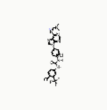 CN(C)/C=N\c1ncnc2c1ncn2-c1ccc(NC(=O)Nc2ccc(Cl)c(C(F)(F)F)c2)cc1.Cl